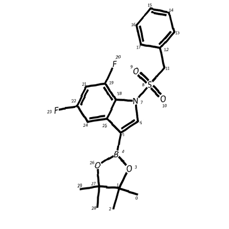 CC1(C)OB(c2cn(S(=O)(=O)Cc3ccccc3)c3c(F)cc(F)cc23)OC1(C)C